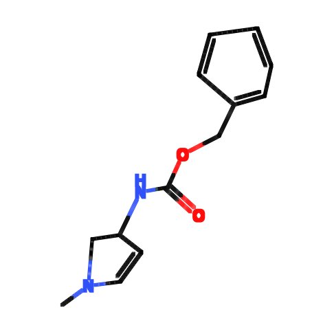 CN1C=CC(NC(=O)OCc2ccccc2)C1